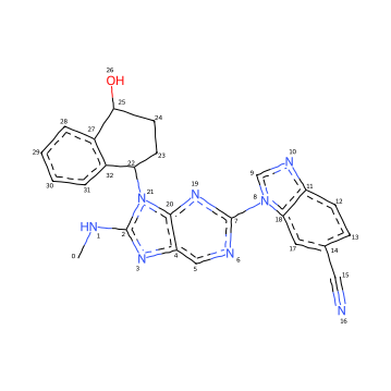 CNc1nc2cnc(-n3cnc4ccc(C#N)cc43)nc2n1C1CCC(O)c2ccccc21